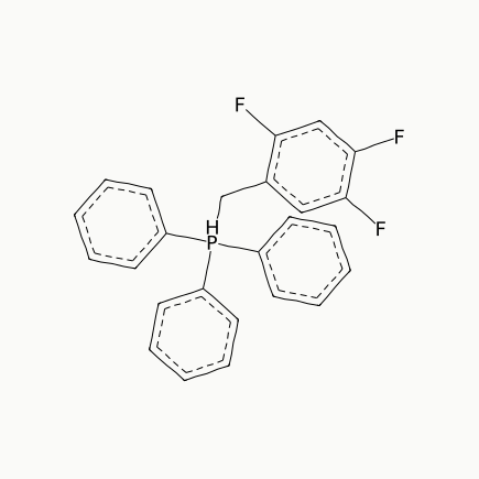 Fc1cc(F)c(C[PH](c2ccccc2)(c2ccccc2)c2ccccc2)cc1F